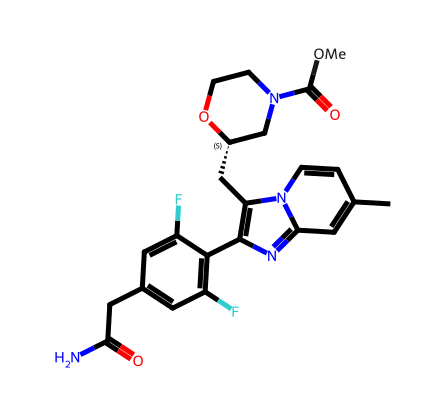 COC(=O)N1CCO[C@@H](Cc2c(-c3c(F)cc(CC(N)=O)cc3F)nc3cc(C)ccn23)C1